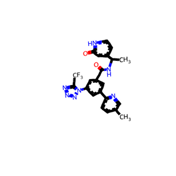 Cc1ccc(-c2cc(C(=O)NC(C)c3cc[nH]c(=O)c3)cc(-n3nnnc3C(F)(F)F)c2)nc1